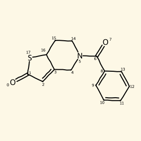 O=C1C=C2CN(C(=O)c3ccccc3)CCC2S1